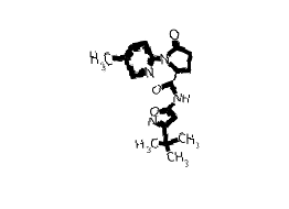 Cc1ccc(N2C(=O)CC[C@H]2C(=O)Nc2cc(C(C)(C)C)no2)nc1